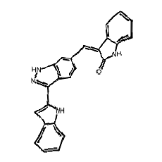 O=C1Nc2ccccc2C1=Cc1ccc2c(-c3cc4ccccc4[nH]3)n[nH]c2c1